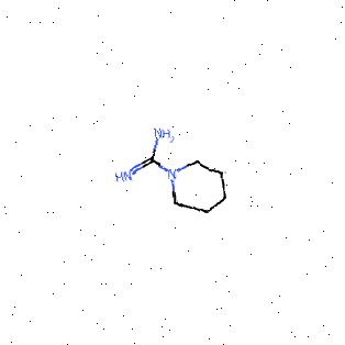 N=C(N)N1C[CH]CCC1